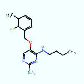 CCCCNc1nc(N)ncc1OCC1=CC=CC(C)C1F